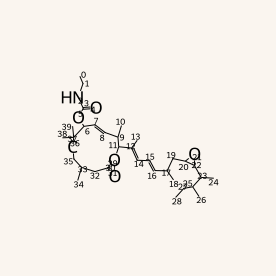 CCNC(=O)OC1/C=C/C(C)C(/C(C)=C/C=C/C(C)CC2OC2C(C)C(C)CC)OC(=O)CC(C)CCC1(C)C